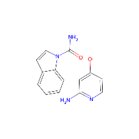 NC(=O)n1ccc2ccccc21.Nc1cc([O])ccn1